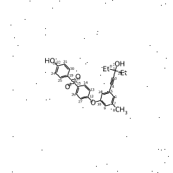 CCC(O)(C#Cc1cc(C)cc(Oc2ccc(S(=O)(=O)c3ccc(O)cc3)cc2)c1)CC